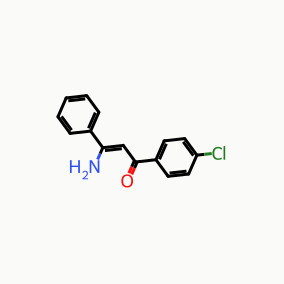 N/C(=C\C(=O)c1ccc(Cl)cc1)c1ccccc1